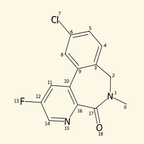 CN1Cc2ccc(Cl)cc2-c2cc(F)cnc2C1=O